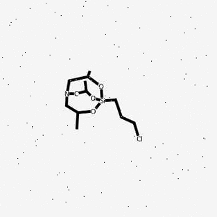 CC1CN2CC(C)O[Si](CCCCl)(O1)OC(C)C2